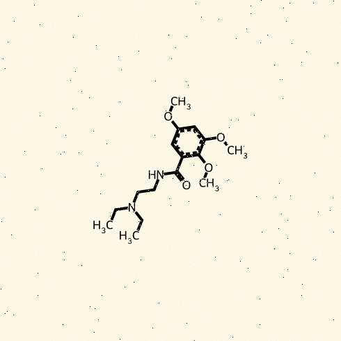 CCN(CC)CCNC(=O)c1cc(OC)cc(OC)c1OC